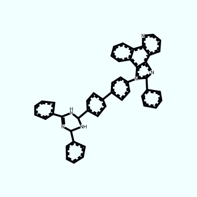 c1ccc(C2=NC(c3ccccc3)NC(c3ccc(-c4ccc(-n5c(-c6ccccc6)nc6c7cccnc7c7ccccc7c65)cc4)cc3)N2)cc1